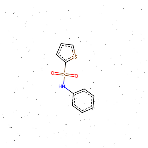 O=S(=O)(Nc1cc[c]cc1)c1cccs1